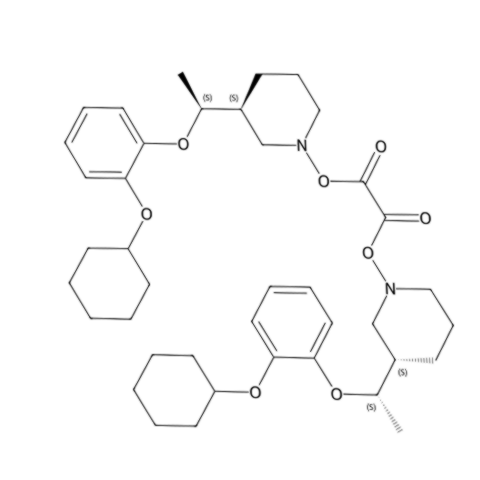 C[C@H](Oc1ccccc1OC1CCCCC1)[C@H]1CCCN(OC(=O)C(=O)ON2CCC[C@H]([C@H](C)Oc3ccccc3OC3CCCCC3)C2)C1